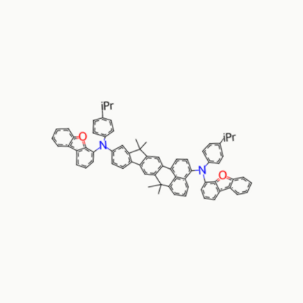 CC(C)c1ccc(N(c2ccc3c(c2)C(C)(C)c2cc4c(cc2-3)C(C)(C)c2cccc3c(N(c5ccc(C(C)C)cc5)c5cccc6c5oc5ccccc56)ccc-4c23)c2cccc3c2oc2ccccc23)cc1